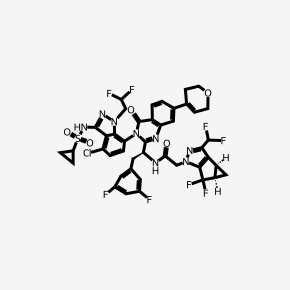 O=C(Cn1nc(C(F)F)c2c1C(F)(F)[C@@H]1C[C@H]21)N[C@@H](Cc1cc(F)cc(F)c1)c1nc2cc(C3=CCOCC3)ccc2c(=O)n1-c1ccc(Cl)c2c(NS(=O)(=O)C3CC3)nn(CC(F)F)c12